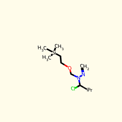 C=NN(COCC[Si](C)(C)C)C(Cl)C(C)C